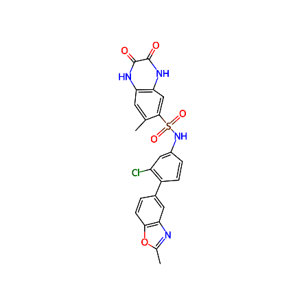 Cc1nc2cc(-c3ccc(NS(=O)(=O)c4cc5[nH]c(=O)c(=O)[nH]c5cc4C)cc3Cl)ccc2o1